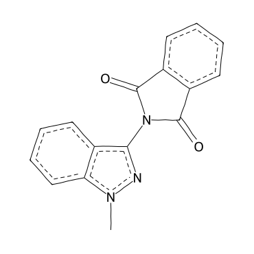 Cn1nc(N2C(=O)c3ccccc3C2=O)c2ccccc21